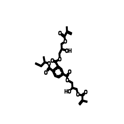 C=C(C)C(=O)OCC(O)COC(=O)c1ccc(C(=O)OC(C)CC)c(C(=O)OCC(O)COC(=O)C(=C)C)c1